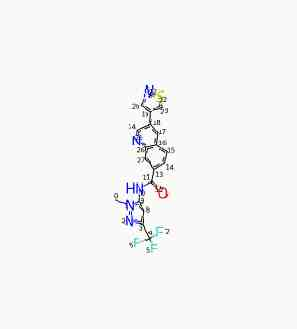 Cn1nc(C(F)(F)F)cc1NC(=O)c1ccc2cc(-c3cnsc3)cnc2c1